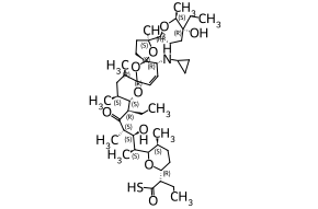 CCC(C(=O)S)[C@H]1CC[C@H](C)C([C@@H](C)[C@H](O)[C@H](C)C(=O)[C@H](CC)[C@H]2O[C@]3(C=C[C@@H](NC4CC4)[C@]4(CC[C@@](C)([C@H]5CC[C@](O)(CC)[C@H](C)O5)O4)O3)[C@H](C)C[C@@H]2C)O1